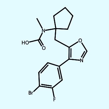 CN(C(=O)O)C1(Cc2ocnc2-c2ccc(Br)c(F)c2)CCCC1